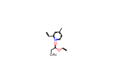 C=COC(=O)COC(C)=O.C=Cc1cc(C)ccn1